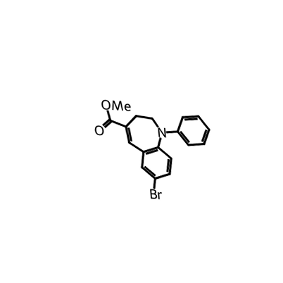 COC(=O)C1=Cc2cc(Br)ccc2N(c2ccccc2)CC1